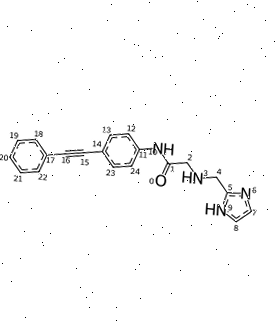 O=C(CNCc1ncc[nH]1)Nc1ccc(C#Cc2ccccc2)cc1